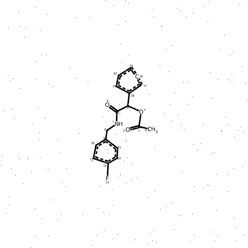 CC(=O)OC(C(=O)NCc1ccc(F)cc1)c1ccccc1